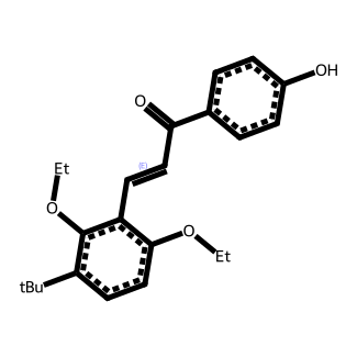 CCOc1ccc(C(C)(C)C)c(OCC)c1/C=C/C(=O)c1ccc(O)cc1